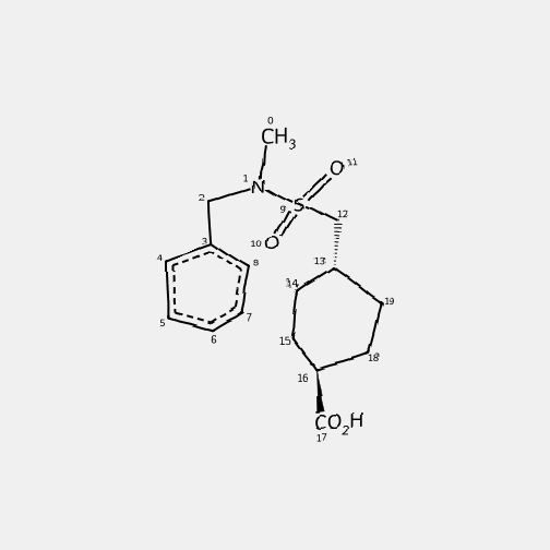 CN(Cc1ccccc1)S(=O)(=O)C[C@H]1CC[C@H](C(=O)O)CC1